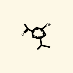 CC(=O)c1cc(O)cc(C(C)C)c1